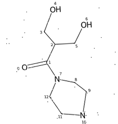 O=C(C(CO)CO)N1CC[N]CC1